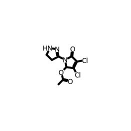 CC(=O)OC1C(Cl)=C(Cl)C(=O)N1C1=NNCC1